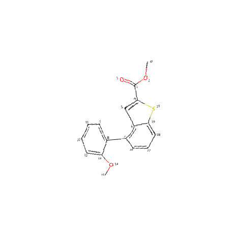 COC(=O)c1cc2c(-c3ccccc3OC)cccc2s1